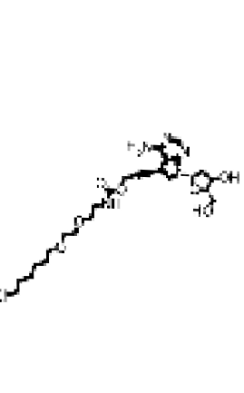 Nc1ncnc2c1c(C#CCOC(=O)NCCOCCOCCCCCCCl)cn2[C@H]1CC(O)[C@@H](CO)O1